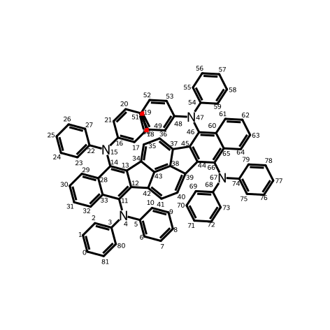 c1ccc(N(c2ccccc2)c2c3c(c(N(c4ccccc4)c4ccccc4)c4ccccc24)-c2ccc4c5c(ccc-3c25)-c2c-4c(N(c3ccccc3)c3ccccc3)c3ccccc3c2N(c2ccccc2)c2ccccc2)cc1